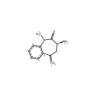 C=C1C[C@H](N)C(=O)N(C)c2ccccc21